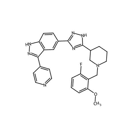 COc1cccc(F)c1CN1CCCC(c2nc(-c3ccc4[nH]nc(-c5ccncc5)c4c3)n[nH]2)C1